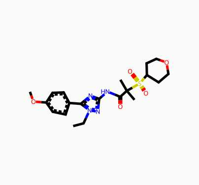 CCn1nc(NC(=O)C(C)(C)S(=O)(=O)C2CCOCC2)nc1-c1ccc(OC)cc1